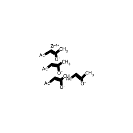 CC(=O)/C=C(/C)[O-].CC(=O)/C=C(/C)[O-].CC(=O)/C=C(/C)[O-].CC(=O)/C=C(/C)[O-].[Zr+4]